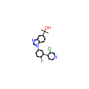 CC(C)(O)c1ccc2c(c1)ncn2-c1ccc(F)c(-c2ccncc2Cl)c1